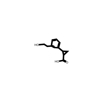 O=C(O)C1CC1c1cccc(CCO)c1